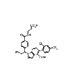 COc1c(-c2ccc(C(F)(F)F)cc2Cl)ccc2c1cnn2C(CC(C)C)c1ccc(C(=O)NCCC(=O)O)cc1